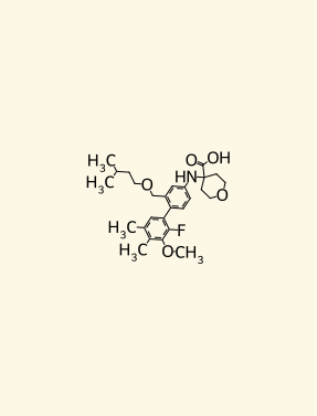 COc1c(C)c(C)cc(-c2ccc(NC3(C(=O)O)CCOCC3)cc2COCCC(C)C)c1F